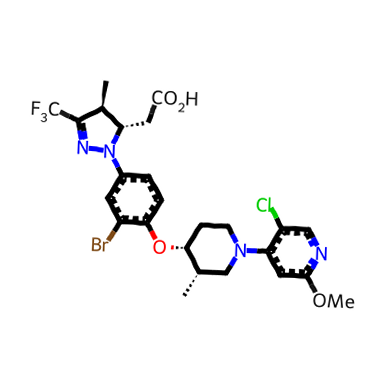 COc1cc(N2CC[C@@H](Oc3ccc(N4N=C(C(F)(F)F)[C@@H](C)[C@@H]4CC(=O)O)cc3Br)[C@@H](C)C2)c(Cl)cn1